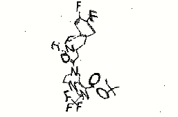 CC(C)(C)OC(=O)c1nc(C(F)(F)F)n2c1CN(C(=O)CC(N)Cc1cc(F)c(F)cc1F)CC2